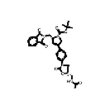 CC(=O)NC[C@H]1CN(c2ccc(C3=C[C@@H](CN4C(=O)c5ccccc5C4=O)N(C(=O)OC(C)(C)C)C3)cc2)C(=O)O1